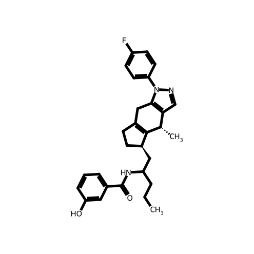 CCCC(C[C@H]1CCC2=C1[C@@H](C)c1cnn(-c3ccc(F)cc3)c1C2)NC(=O)c1cccc(O)c1